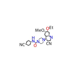 CCOc1cc2ncc(C#N)c(N3CCN(C(=O)Nc4ccc(C#N)cc4)CC3)c2cc1OC